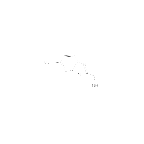 COc1ccc2nc(CN)[nH]c2c1